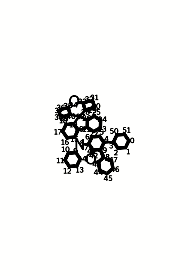 c1ccc(-c2ccc(N(c3ccccc3)c3cccc4c3-c3ccccc3C43c4ccccc4Oc4ccccc43)c3oc4ccccc4c23)cc1